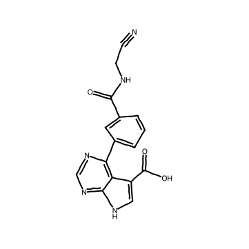 N#CCNC(=O)c1cccc(-c2ncnc3[nH]cc(C(=O)O)c23)c1